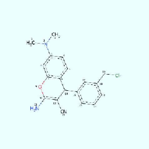 CN(C)c1ccc2c(c1)OC(N)=C(C#N)C2c1cccc(CCl)c1